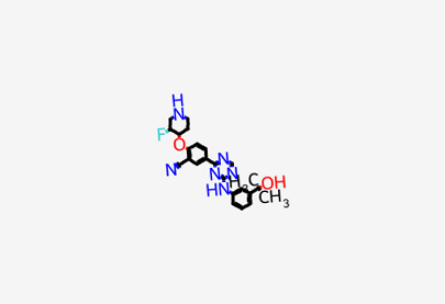 CC(C)(O)c1cccc(Nc2ncnc(-c3ccc(OC4CCNCC4F)c(C#N)c3)n2)c1